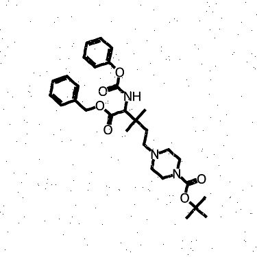 CC(C)(C)OC(=O)N1CCN(CCC(C)(C)C(NC(=O)Oc2ccccc2)C(=O)OCc2ccccc2)CC1